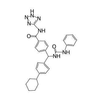 O=C(Nc1ccccc1)NC(c1ccc(C(=O)Nc2nn[nH]n2)cc1)c1ccc(C2CCCCC2)cc1